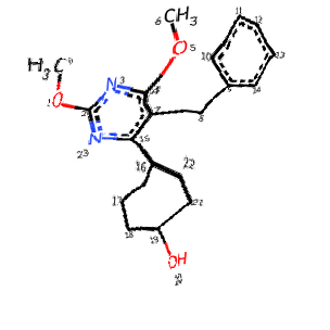 COc1nc(OC)c(Cc2ccccc2)c(C2CCC(O)CC2)n1